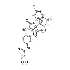 O=C(O)/C=C/C(=O)Nc1cccc(C(=O)C2=C(O)C(=O)N(c3cccc(Cl)c3)C23C(=O)Nc2cc(Cl)ccc23)c1